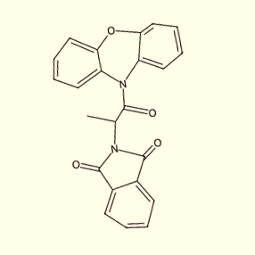 CC(C(=O)N1c2ccccc2Oc2ccccc21)N1C(=O)c2ccccc2C1=O